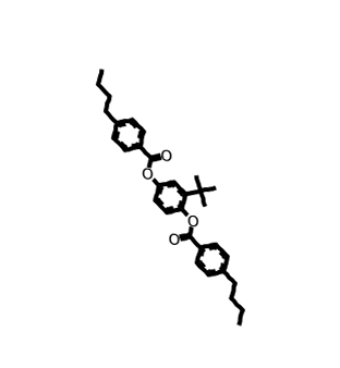 CCCCc1ccc(C(=O)Oc2ccc(OC(=O)c3ccc(CCCC)cc3)c(C(C)(C)C)c2)cc1